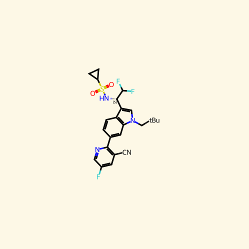 CC(C)(C)Cn1cc([C@H](NS(=O)(=O)C2CC2)C(F)F)c2ccc(-c3ncc(F)cc3C#N)cc21